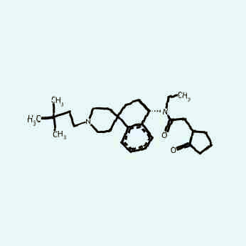 CCN(C(=O)CC1CCCC1=O)[C@H]1CCC2(CCN(CCC(C)(C)C)CC2)c2ccccc21